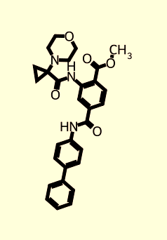 COC(=O)c1ccc(C(=O)Nc2ccc(-c3ccccc3)cc2)cc1NC(=O)C1(N2CCOCC2)CC1